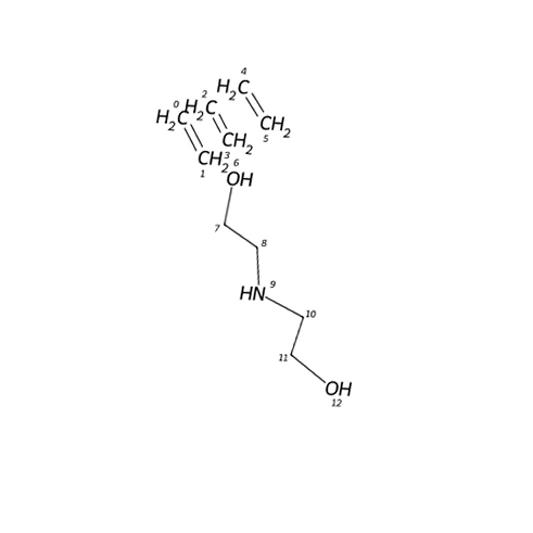 C=C.C=C.C=C.OCCNCCO